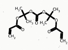 C=CC(=O)OC(C)(C)OC(=O)OC(C)(C)OC(=O)C=C